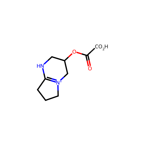 O=C(O)C(=O)OC1CNC2=[N+](CCC2)C1